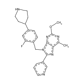 COc1nc(C)c2nc(-c3cccnc3)n(Cc3ccc(C4CCNCC4)cc3F)c2n1